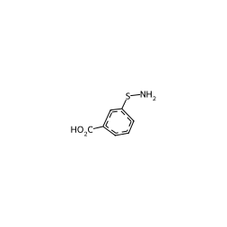 NSc1cccc(C(=O)O)c1